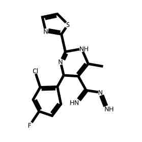 CC1=C(C(=N)N=N)C(c2ccc(F)cc2Cl)N=C(c2nccs2)N1